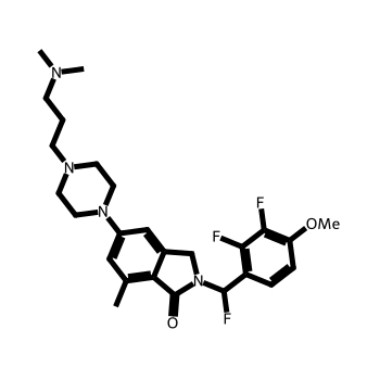 COc1ccc(C(F)N2Cc3cc(N4CCN(CCCN(C)C)CC4)cc(C)c3C2=O)c(F)c1F